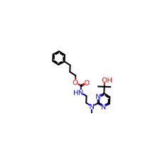 CN(CCNC(=O)OCCCc1ccccc1)c1nccc(C(C)(C)O)n1